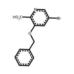 O=C(O)c1ncc(Br)cc1OCc1ccccc1